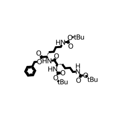 CC(C)(C)OC(=O)NCCCC[C@H](NC(=O)OC(C)(C)C)C(=O)N[C@@H](CCCCNC(=O)OC(C)(C)C)C(=O)OCc1ccccc1